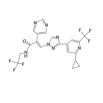 O=C(NCC(F)(F)F)/C(=C/n1cnc(-c2cc(C3CC3)nc(C(F)(F)F)c2)n1)c1cncnc1